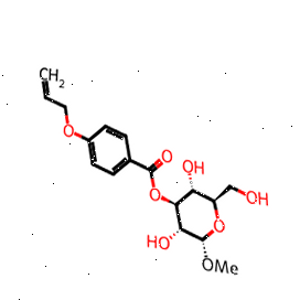 C=CCOc1ccc(C(=O)O[C@@H]2[C@@H](O)[C@@H](OC)O[C@H](CO)[C@H]2O)cc1